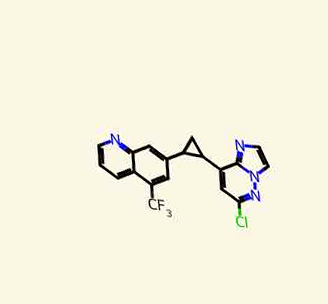 FC(F)(F)c1cc(C2CC2c2cc(Cl)nn3ccnc23)cc2ncccc12